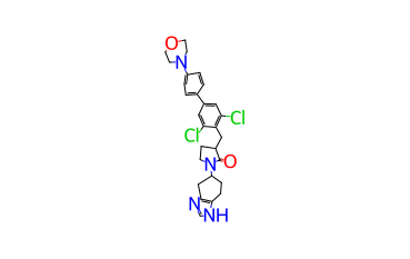 O=C1C(Cc2c(Cl)cc(-c3ccc(N4CCOCC4)cc3)cc2Cl)CCN1C1CCc2[nH]cnc2C1